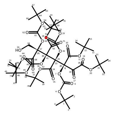 CC(C)(C)OC(=O)O[C@@](C(=O)OC(C)(C)C)(C(=O)C(=O)OC(C)(C)C)[C@](OC(=O)OC(C)(C)C)(C(=O)OC(C)(C)C)[C@@](OC(=O)OC(C)(C)C)(C(=O)OC(C)(C)C)[C@@](CO)(OC(=O)OC(C)(C)C)C(=O)OC(C)(C)C